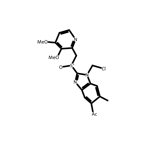 COc1ccnc(C[S+]([O-])c2nc3cc(C(C)=O)c(C)cc3n2CCl)c1OC